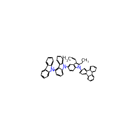 C=Cc1c(/C=C\C)c2cc(-n3c4ccccc4c4c(-n5c6ccccc6c6ccccc65)cccc43)ccc2n1-c1ccc2c3ccccc3c3ccccc3c2c1